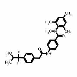 Cc1cc(C)c(N(C)C(=O)c2ccc(NC(=O)Cc3ccc(C(F)(F)C(C)O)cc3)cc2)c(C)c1